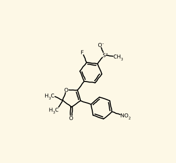 C[S+]([O-])c1ccc(C2=C(c3ccc([N+](=O)[O-])cc3)C(=O)C(C)(C)O2)cc1F